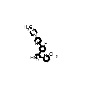 Cc1cccc(-c2n[nH]cc2-c2ccc(F)c(-c3ccc(N4CCN(C)CC4)cn3)c2)n1